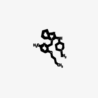 BN1CCC(Nc2nc3ccccc3n2Cc2nc(C)ccc2OCCCC)CC1